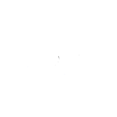 C=CCOc1ccc([C@@H]2[C@@H](OCc3ccc4c(c3)N(CCCOC)CCO4)CN(C(=O)O)C[C@H]2OC[C@H](O)COC)cc1